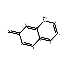 S=c1ccc2ccc[nH]c-2c1